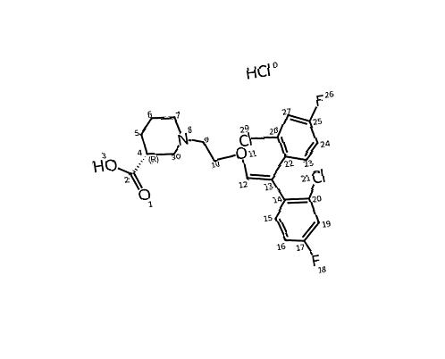 Cl.O=C(O)[C@@H]1CCCN(CCOC=C(c2ccc(F)cc2Cl)c2ccc(F)cc2Cl)C1